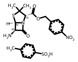 CC1(C)S[C@@H]2[C@H](N)C(=O)N2[C@H]1C(=O)OCc1ccc([N+](=O)[O-])cc1.Cc1ccc(S(=O)(=O)O)cc1